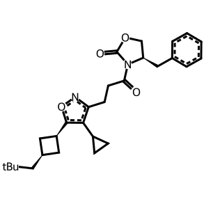 CC(C)(C)C[C@H]1C[C@@H](c2onc(CCC(=O)N3C(=O)OC[C@H]3Cc3ccccc3)c2C2CC2)C1